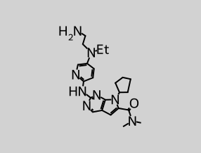 CCN(CCN)c1ccc(Nc2ncc3cc(C(=O)N(C)C)n(C4CCCC4)c3n2)nc1